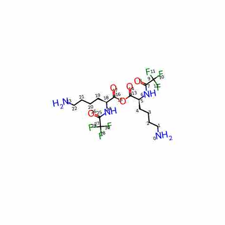 NCCCC[C@H](NC(=O)C(F)(F)F)C(=O)OC(=O)[C@H](CCCCN)NC(=O)C(F)(F)F